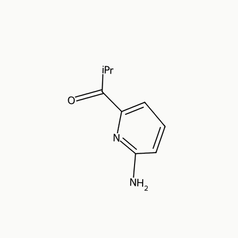 CC(C)C(=O)c1cccc(N)n1